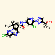 C[C@@H](O)c1cnn(-c2ncc(NC(=O)[C@@H]3CC(C)(C)c4c3cnc3cc(Cl)nn43)cc2Cl)n1